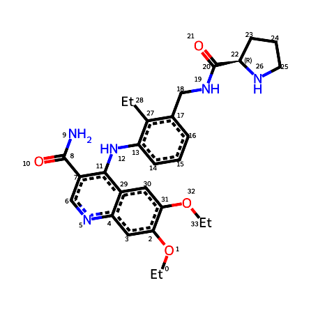 CCOc1cc2ncc(C(N)=O)c(Nc3cccc(CNC(=O)[C@H]4CCCN4)c3CC)c2cc1OCC